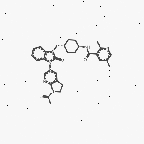 CC(=O)N1CCc2cc(-n3c(=O)n(C[C@H]4CC[C@H](NC(=O)c5cc(Cl)cnc5C)CC4)c4ccccc43)cnc21